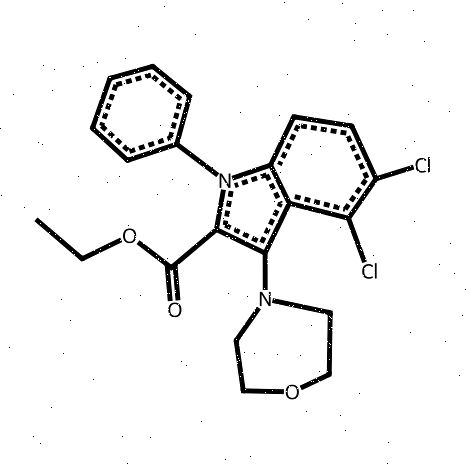 CCOC(=O)c1c(N2CCOCC2)c2c(Cl)c(Cl)ccc2n1-c1ccccc1